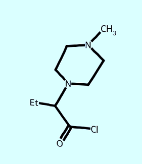 CCC(C(=O)Cl)N1CCN(C)CC1